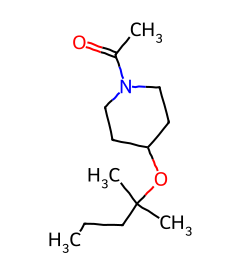 CCCC(C)(C)OC1CCN(C(C)=O)CC1